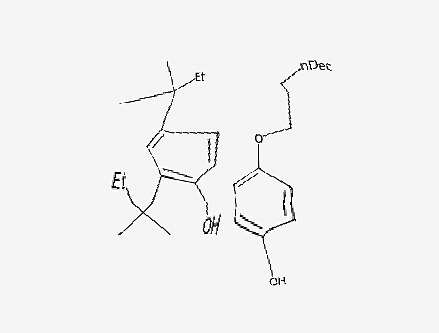 CCC(C)(C)c1ccc(O)c(C(C)(C)CC)c1.CCCCCCCCCCCCOc1ccc(O)cc1